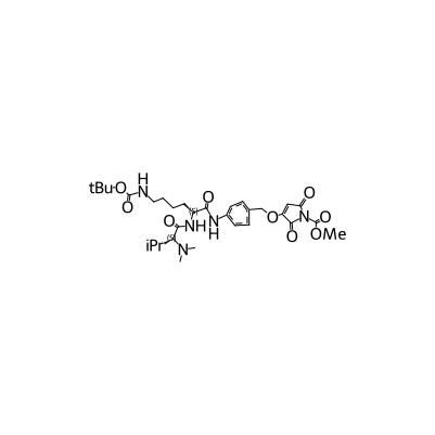 COC(=O)N1C(=O)C=C(OCc2ccc(NC(=O)[C@H](CCCCNC(=O)OC(C)(C)C)NC(=O)[C@H](C(C)C)N(C)C)cc2)C1=O